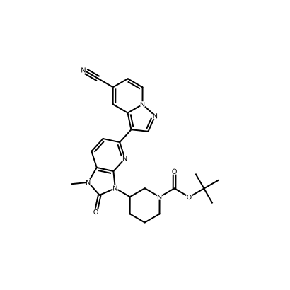 Cn1c(=O)n(C2CCCN(C(=O)OC(C)(C)C)C2)c2nc(-c3cnn4ccc(C#N)cc34)ccc21